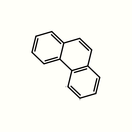 [c]1[c]c2c(cc1)ccc1ccccc12